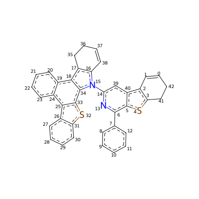 C1=Cc2c(sc3c(-c4ccccc4)nc(-n4c5c(c6c7ccccc7c7c8ccccc8sc7c64)CCC=C5)cc23)CC1